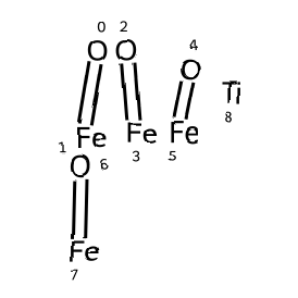 [O]=[Fe].[O]=[Fe].[O]=[Fe].[O]=[Fe].[Ti]